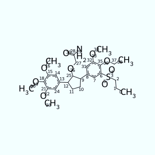 CCCS(=O)(=O)c1cc(C2CCC(c3cc(OC)c(OC)c(OC)c3)C2OCC(N)=O)cc(OC)c1OCC